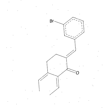 C/C=C1/CC/C(=C\c2cccc(Br)c2)C(=O)/C1=C/C